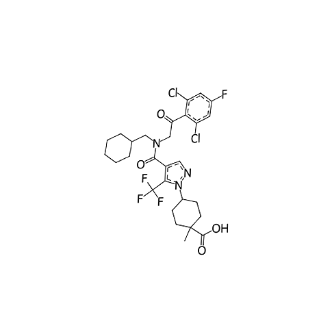 CC1(C(=O)O)CCC(n2ncc(C(=O)N(CC(=O)c3c(Cl)cc(F)cc3Cl)CC3CCCCC3)c2C(F)(F)F)CC1